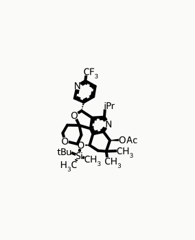 CC(=O)O[C@@H]1c2nc(C(C)C)c3c(c2[C@@H](O[Si](C)(C)C(C)(C)C)CC1(C)C)C1(CCOCC1)O[C@@H]3c1ccc(C(F)(F)F)nc1